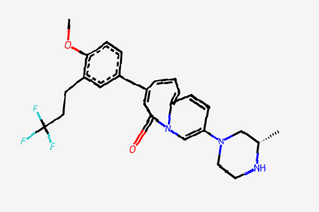 COc1ccc(C2=C\C(=O)N3C=C(N4CCN[C@@H](C)C4)C=C\C3=C/C=C/2)cc1CCC(F)(F)F